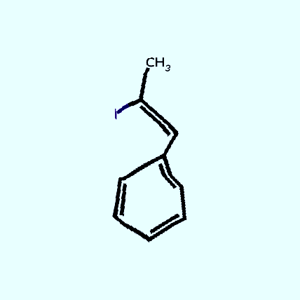 C/C(I)=C/c1ccccc1